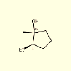 CC[C@@H]1CCC[C@@]1(C)O